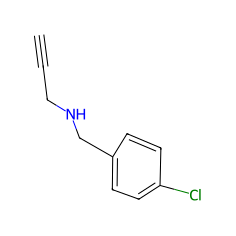 C#CCNCc1ccc(Cl)cc1